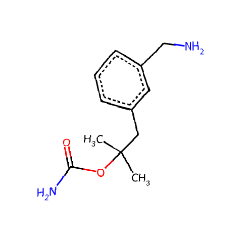 CC(C)(Cc1cccc(CN)c1)OC(N)=O